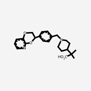 CC(C)(C(=O)O)C1CCN(Cc2ccc(C3COc4cccnc4O3)cc2)CC1